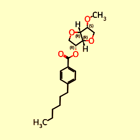 CCCCCCc1ccc(C(=O)O[C@@H]2CO[C@H]3[C@@H]2OC[C@@H]3OC)cc1